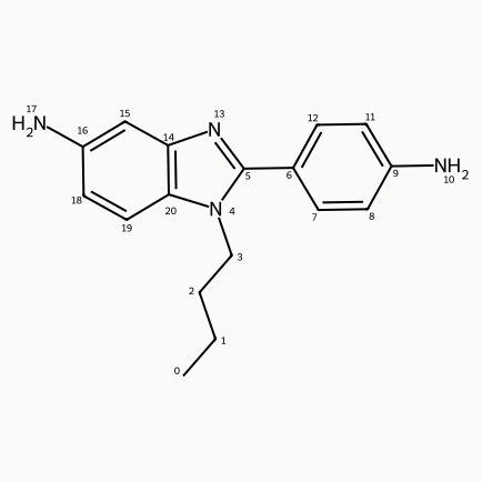 CCCCn1c(-c2ccc(N)cc2)nc2cc(N)ccc21